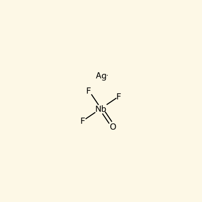 [Ag].[O]=[Nb]([F])([F])[F]